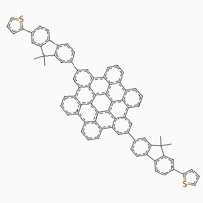 CC1(C)c2cc(-c3cc4c5cccc6c7cccc8c9cc(-c%10ccc%11c(c%10)C(C)(C)c%10cc(-c%12cccs%12)ccc%10-%11)cc%10c%11cccc%12c%13cccc%14c(c3)c4c3c(c65)c(c78)c(c9%10)c(c%12%11)c3c%13%14)ccc2-c2ccc(-c3cccs3)cc21